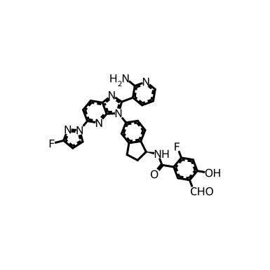 Nc1ncccc1-c1nc2ccc(-n3ccc(F)n3)nc2n1-c1ccc2c(c1)CC[C@@H]2NC(=O)c1cc(C=O)c(O)cc1F